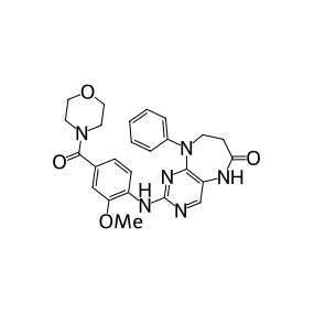 COc1cc(C(=O)N2CCOCC2)ccc1Nc1ncc2c(n1)N(c1ccccc1)CCC(=O)N2